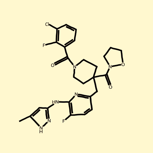 Cc1cc(Nc2nc(CC3(C(=O)N4CCCO4)CCN(C(=O)c4cccc(Cl)c4F)CC3)ccc2F)n[nH]1